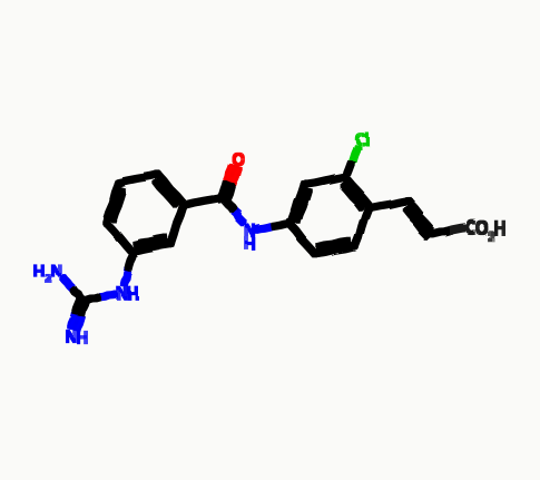 N=C(N)Nc1cccc(C(=O)Nc2ccc(C=CC(=O)O)c(Cl)c2)c1